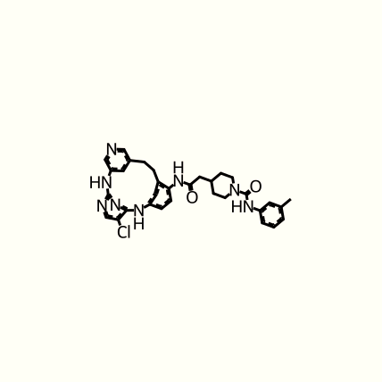 Cc1cccc(NC(=O)N2CCC(CC(=O)Nc3ccc4cc3CCc3cncc(c3)Nc3ncc(Cl)c(n3)N4)CC2)c1